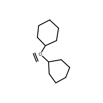 C1CCC(OC2CCCCC2)CC1.C=C